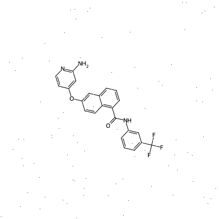 Nc1cc(Oc2ccc3c(C(=O)Nc4cccc(C(F)(F)F)c4)cccc3c2)ccn1